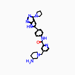 N[C@@H]1CCCN(Cc2ccnc(C(=O)Nc3ccc(-c4cc5c(N6CCCC6)ncnc5[nH]4)cc3)c2)C1